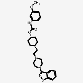 COc1cccc(NC(=O)O[C@H]2CC[C@H](CCN3CCN(c4nsc5ccccc45)CC3)CC2)c1